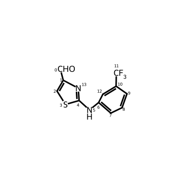 O=Cc1csc(Nc2cccc(C(F)(F)F)c2)n1